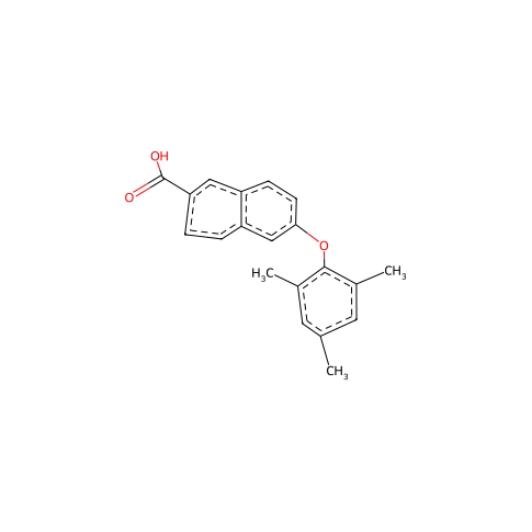 Cc1cc(C)c(Oc2ccc3cc(C(=O)O)ccc3c2)c(C)c1